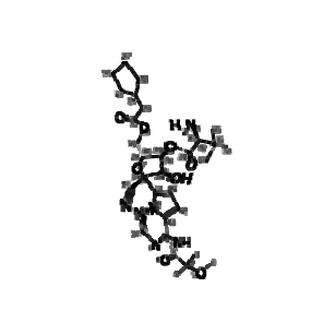 COC(C)(C)C(=O)Nc1ncnn2c([C@]3(C#N)O[C@H](COC(=O)CC4CCCC4)[C@@H](OC(=O)[C@@H](N)C(C)(C)C)[C@H]3O)ccc12